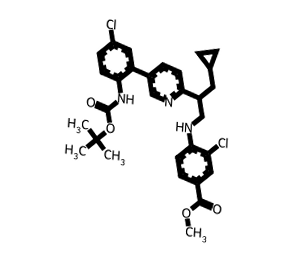 COC(=O)c1ccc(NCC(CC2CC2)c2ccc(-c3cc(Cl)ccc3NC(=O)OC(C)(C)C)cn2)c(Cl)c1